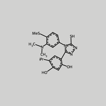 CSc1ccc(-n2c(S)nnc2-c2cc(C(C)C)c(O)cc2O)cc1N(C)C